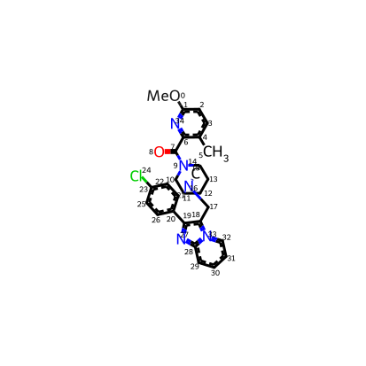 COc1ccc(C)c(C(=O)N2CC3CCC2CN3Cc2c(-c3ccc(Cl)cc3)nc3ccccn23)n1